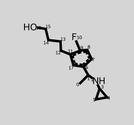 CC(NC1CC1)c1ccc(F)c(CCCCO)c1